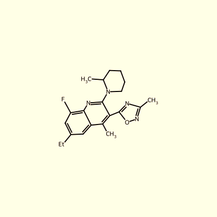 CCc1cc(F)c2nc(N3CCCCC3C)c(-c3nc(C)no3)c(C)c2c1